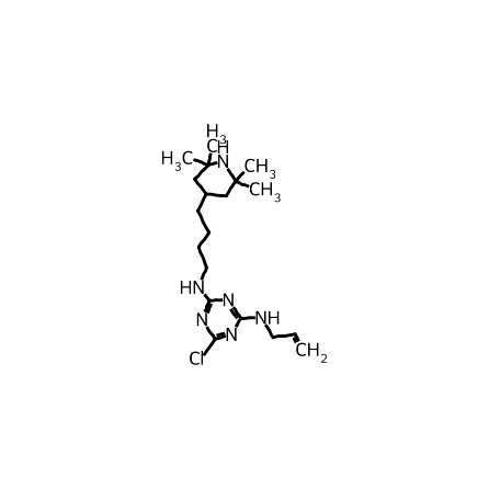 C=CCNc1nc(Cl)nc(NCCCCC2CC(C)(C)NC(C)(C)C2)n1